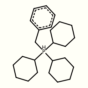 c1ccc(C[PH](C2CCCCC2)(C2CCCCC2)C2CCCCC2)cc1